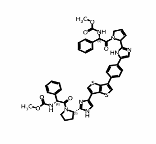 COC(=O)N[C@@H](C(=O)N1CC=CC1c1ncc(-c2ccc(-c3csc4c(-c5c[nH]c([C@@H]6CCCN6C(=O)[C@H](NC(=O)OC)c6ccccc6)n5)csc34)cc2)[nH]1)c1ccccc1